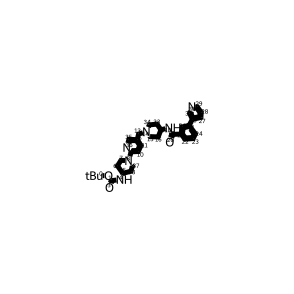 CC(C)(C)OC(=O)NC1CCN(c2ccc(CN3CCC(NC(=O)c4cccc(-c5cccnc5)c4)CC3)cn2)CC1